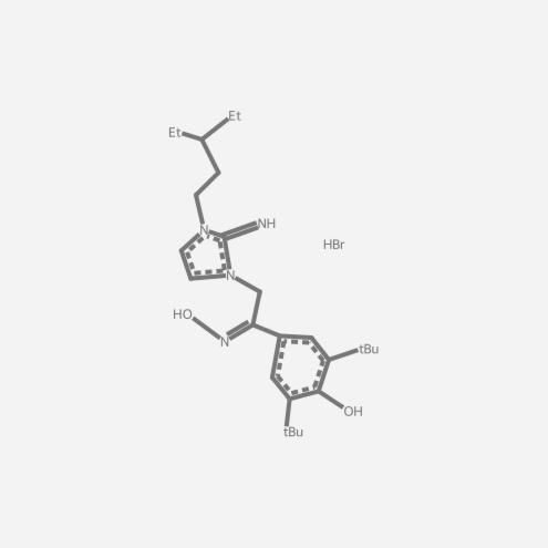 Br.CCC(CC)CCn1ccn(CC(=NO)c2cc(C(C)(C)C)c(O)c(C(C)(C)C)c2)c1=N